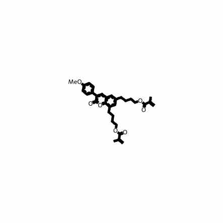 C=C(C)C(=O)OCCCCc1cc(CCCCOC(=O)C(=C)C)c2oc(=O)c(-c3ccc(OC)cc3)cc2c1